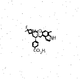 COc1cc(C)c2[nH]ccc2c1CN1CC[C@]2(C[C@@H]1c1ccc(C(=O)O)cc1)C[C@@](C)(F)C2